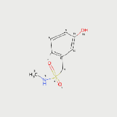 CNS(=O)(=O)Cc1cccc(O)c1